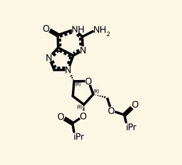 CC(C)C(=O)OC[C@H]1O[C@@H](n2cnc3c(=O)[nH]c(N)nc32)C[C@H]1OC(=O)C(C)C